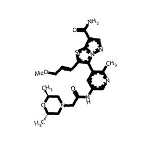 COC/C=C/c1sc2c(C(N)=O)cnn2c1-c1cc(NC(=O)CN2C[C@H](C)O[C@@H](C)C2)cnc1C